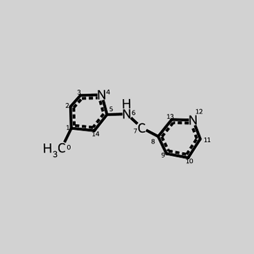 Cc1ccnc(NCc2cccnc2)c1